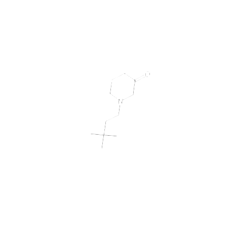 CC(C)(C)CCN1CCCC(=O)C1